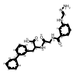 NN=CNc1cccc(C(=O)NCC(=O)NC(Cc2cccc(-c3ccccc3)c2)C(=O)O)c1